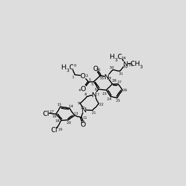 CCOC(=O)c1c(N2CCN(C(=O)c3ccc(Cl)c(Cl)c3)CC2)c2ccccc2n(CCN(C)C)c1=O